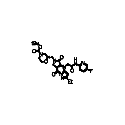 CCc1cc2n(CC(=O)Nc3ccc(F)cn3)c3c(c(=O)n2n1)CN(C[C@@H]1CN(C(=O)OC(C)(C)C)CCO1)C3=O